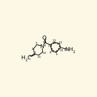 C=C1CCN(C(=O)c2ccc(N)cc2)CC1